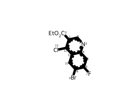 CCOC(=O)c1cnc2cc(F)c(Br)cc2c1Cl